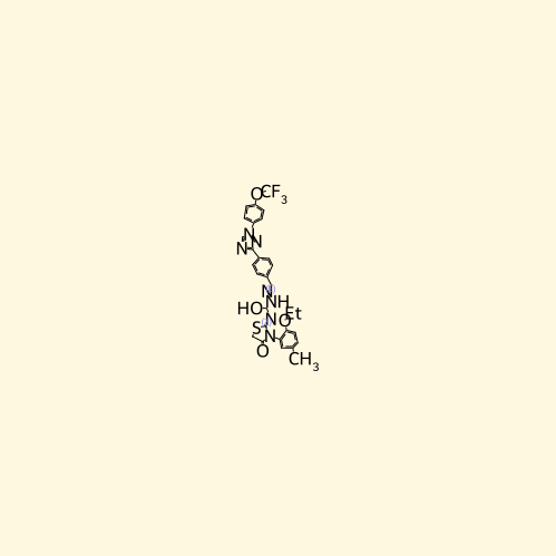 CCOc1ccc(C)cc1N1C(=O)CS/C1=N\C(O)N/N=C/c1ccc(-c2ncn(-c3ccc(OC(F)(F)F)cc3)n2)cc1